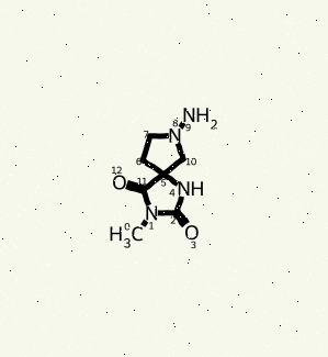 CN1C(=O)NC2(CCN(N)C2)C1=O